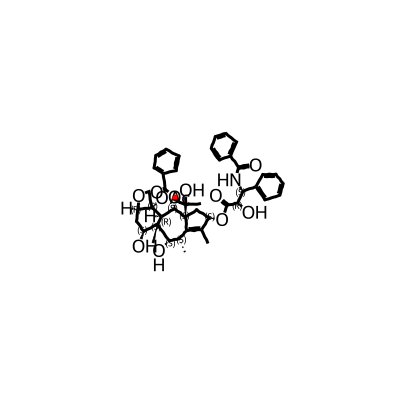 CC(=O)O[C@@]12CO[C@@H]1C[C@H](O)[C@]1(C)[C@@H]2[C@H](OC(=O)c2ccccc2)[C@]2(C(C)(C)O)C[C@H](OC(=O)[C@H](O)[C@@H](NC(=O)c3ccccc3)c3ccccc3)C(C)=C2[C@H](C)[C@@H]1O